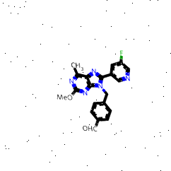 COc1nc(C)c2nc(-c3cncc(F)c3)n(Cc3ccc(C=O)cc3)c2n1